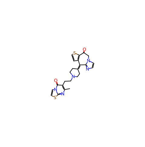 Cc1nc2sccn2c(=O)c1CCN1CCC(=C2c3ccsc3C(=O)Cn3ccnc32)CC1